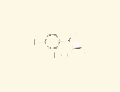 C/C=C(\C(=O)O)C(=O)c1ccc(F)cc1